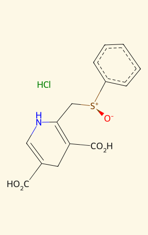 Cl.O=C(O)C1=CNC(C[S@+]([O-])c2ccccc2)=C(C(=O)O)C1